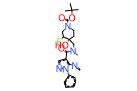 C=Nc1c(C(=O)N(C)CC2(O)CCN(C(=O)OC(C)(C)C)CC2F)cnn1-c1ccccc1